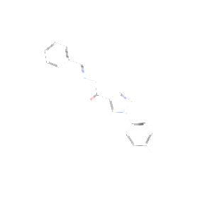 O=C(N/N=C/c1ccccc1)c1cnn(-c2ccc(Cl)cc2)c1C(F)(F)F